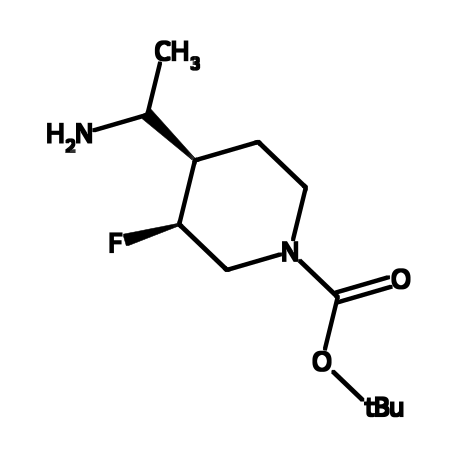 CC(N)[C@H]1CCN(C(=O)OC(C)(C)C)C[C@H]1F